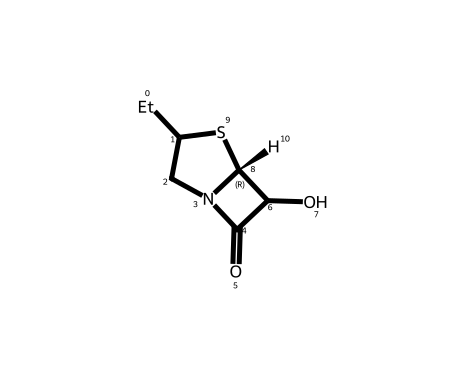 CCC1CN2C(=O)C(O)[C@H]2S1